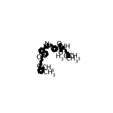 Cc1cccc(OCCCC(=O)N2CCCc3c(-c4cnn(Cc5cccc(N6C(=O)N[C@@H](CCC[N+](C)(C)C)C6=O)c5)c4)cccc32)c1C